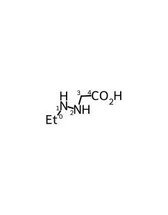 [CH2]CNNCC(=O)O